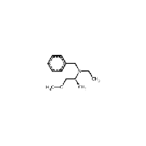 CCN(Cc1ccccc1)[C@@H](C)COC